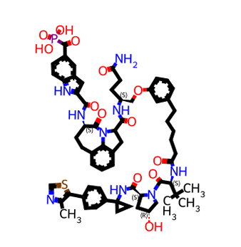 Cc1ncsc1-c1ccc(C2(NC(=O)[C@@H]3C[C@@H](O)CN3C(=O)[C@@H](NC(=O)CCCCCc3cccc(OC[C@H](CCC(N)=O)NC(=O)C4Cc5cccc6c5N4C(=O)[C@@H](NC(=O)c4cc5cc(C(=O)P(=O)(O)O)ccc5[nH]4)CC6)c3)C(C)(C)C)CC2)cc1